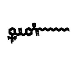 CCCCCCCCCCCCNC(=O)c1ccc(CNCc2ccccc2C(F)(F)F)cc1